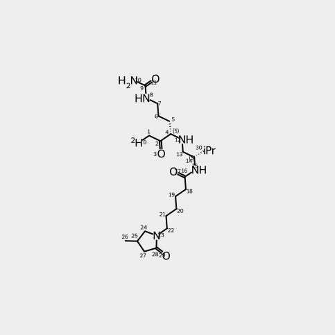 [2H]CC(=O)[C@H](CCCNC(N)=O)NC[C@@H](NC(=O)CCCCCN1CC(C)CC1=O)C(C)C